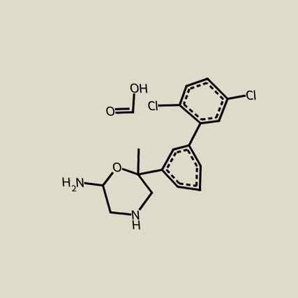 CC1(c2cccc(-c3cc(Cl)ccc3Cl)c2)CNCC(N)O1.O=CO